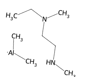 CCN(C)CCNC.[CH3][Al][CH3]